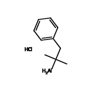 C[C](C)([AlH2])Cc1ccccc1.Cl